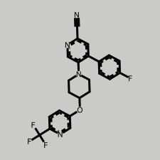 N#Cc1cc(-c2ccc(F)cc2)c(N2CCC(Oc3ccc(C(F)(F)F)nc3)CC2)cn1